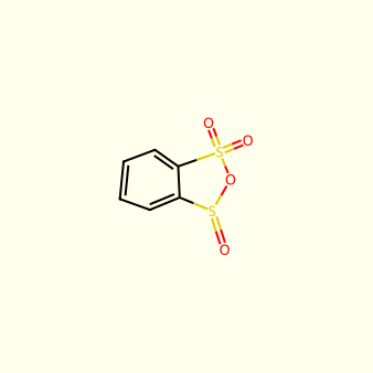 O=S1OS(=O)(=O)c2ccccc21